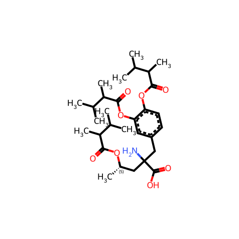 CC(C)C(C)C(=O)Oc1ccc(CC(N)(C[C@H](C)OC(=O)C(C)C(C)C)C(=O)O)cc1OC(=O)C(C)C(C)C